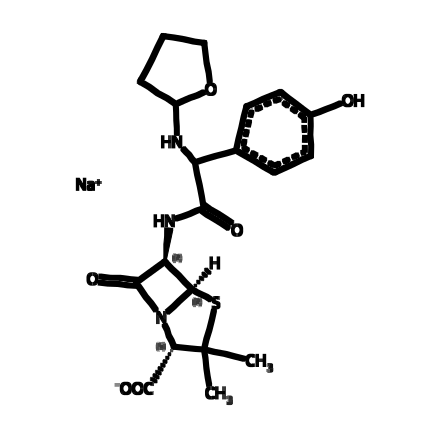 CC1(C)S[C@@H]2[C@H](NC(=O)C(NC3CCCO3)c3ccc(O)cc3)C(=O)N2[C@H]1C(=O)[O-].[Na+]